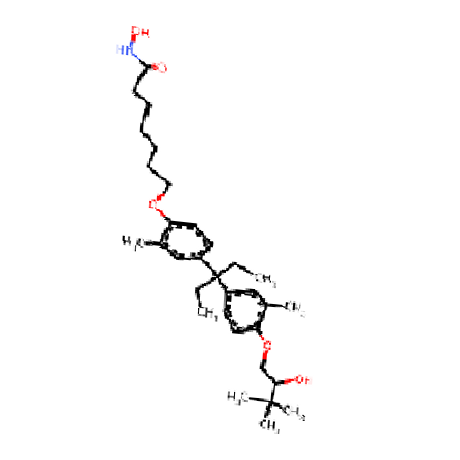 CCC(CC)(c1ccc(OCCCCCCC(=O)NO)c(C)c1)c1ccc(OCC(O)C(C)(C)C)c(C)c1